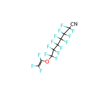 N#CC(F)(F)C(F)(F)C(F)(F)C(F)(F)C(F)(F)C(F)(F)OC(F)=C(F)F